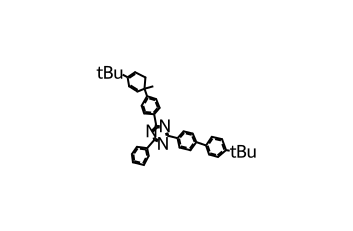 CC(C)(C)C1=CCC(C)(c2ccc(-c3nc(-c4ccccc4)nc(-c4ccc(-c5ccc(C(C)(C)C)cc5)cc4)n3)cc2)C=C1